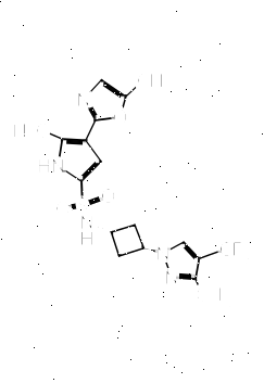 Cc1cnc(-c2cc(S(=O)(=O)N[C@H]3C[C@H](n4cc(C(F)(F)F)c(C)n4)C3)[nH]c2C)o1